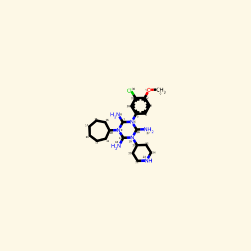 COc1ccc(N2C(N)N(C3CCCCCC3)C(N)N(C3CCNCC3)C2N)cc1Cl